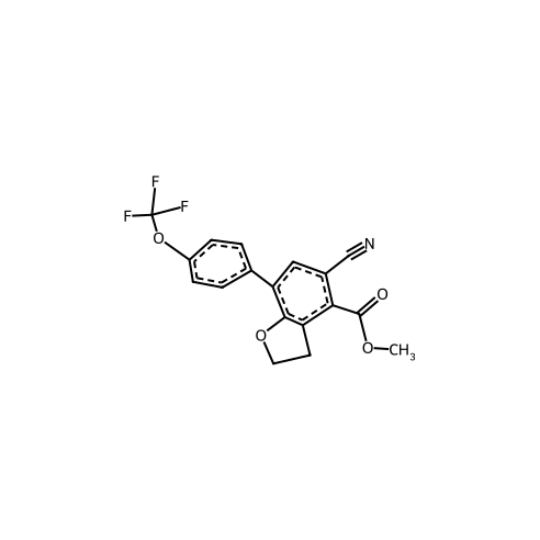 COC(=O)c1c(C#N)cc(-c2ccc(OC(F)(F)F)cc2)c2c1CCO2